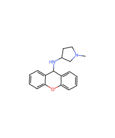 CN1CCC(NC2c3ccccc3Oc3ccccc32)C1